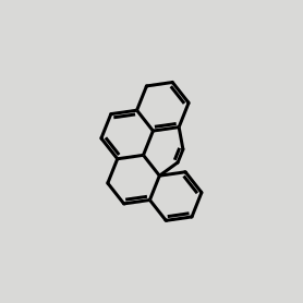 C1=CC2=CCC3=CC=C4CC=CC5=C4C3C2(C=C1)C=C5